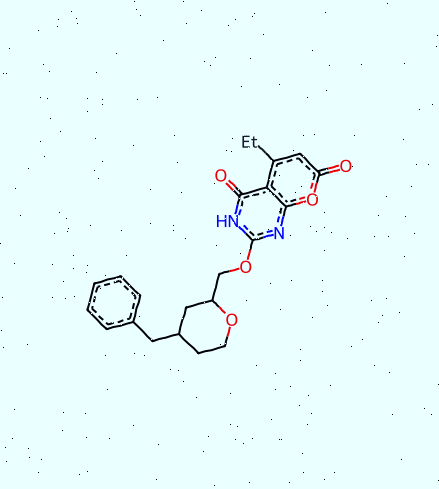 CCc1cc(=O)oc2nc(OCC3CC(Cc4ccccc4)CCO3)[nH]c(=O)c12